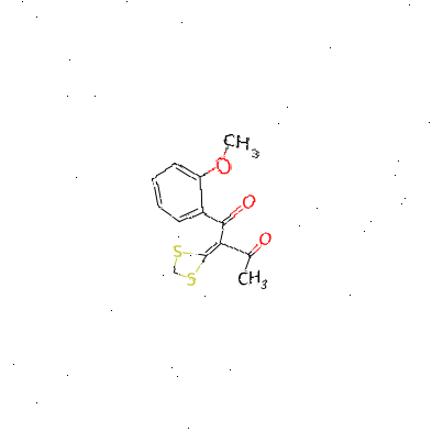 COc1ccccc1C(=O)C(C(C)=O)=C1SCS1